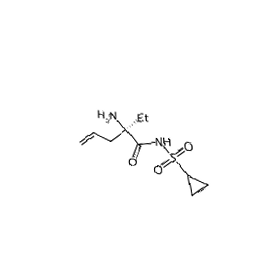 C=CC[C@](N)(CC)C(=O)NS(=O)(=O)C1CC1